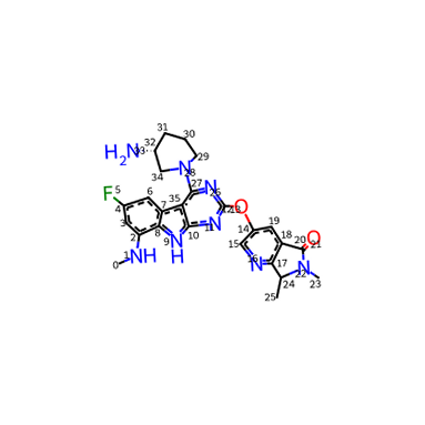 CNc1cc(F)cc2c1[nH]c1nc(Oc3cnc4c(c3)C(=O)N(C)C4C)nc(N3CCC[C@@H](N)C3)c12